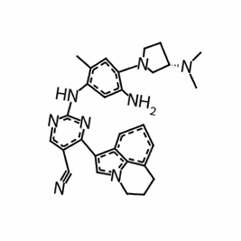 Cc1cc(N2CC[C@H](N(C)C)C2)c(N)cc1Nc1ncc(C#N)c(-c2cn3c4c(cccc24)CCC3)n1